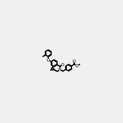 COC(=O)c1ccc(CN(CC2CC2)C(=O)c2ccc(Oc3ccccc3C)cc2)cc1